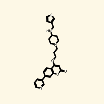 O=c1cc(OCCCN2CCC(NCc3ccsc3)CC2)c2ccc(-c3cccnc3)cc2o1